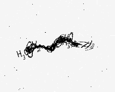 C=C(C)C(=O)OCCCCCCCCOc1ccc(C(=O)Oc2ccc(/C=C/C(=O)OCC(C)N(C)C)cc2OC)cc1